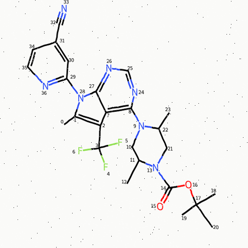 Cc1c(C(F)(F)F)c2c(N3CC(C)N(C(=O)OC(C)(C)C)CC3C)ncnc2n1-c1cc(C#N)ccn1